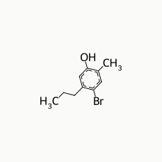 CCCc1cc(O)c(C)cc1Br